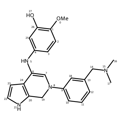 COc1ccc(NC2=CN(c3cccc(CN(C)C)c3)Cc3[nH]ccc32)cc1O